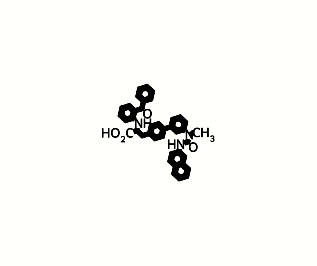 CN(C(=O)Nc1ccc2ccccc2c1)c1cccc(-c2ccc(CC(Nc3ccccc3C(=O)c3ccccc3)C(=O)O)cc2)c1